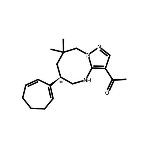 CC(=O)c1cnn2c1NC[C@@H](C1=CCCCC=C1)CC(C)(C)C2